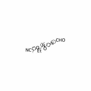 CCC(CC1CCC(C)N1C(=O)c1ccc(N2CCC(C=O)CC2)cc1)Oc1ccc(C#N)c(C)c1